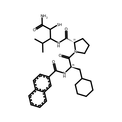 CC(C)C(NC(=O)[C@@H]1CCCN1C(=O)[C@@H](CC1CCCCC1)NC(=O)c1ccc2ccccc2c1)C(S)C(N)=O